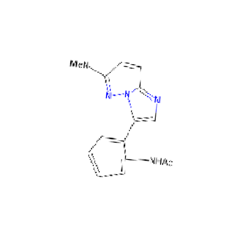 CNc1ccc2ncc(-c3ccccc3NC(C)=O)n2n1